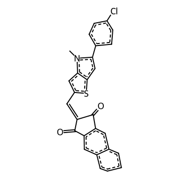 Cn1c(-c2ccc(Cl)cc2)cc2sc(C=C3C(=O)c4cc5ccccc5cc4C3=O)cc21